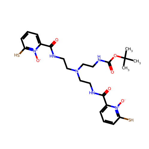 CC(C)(C)OC(=O)NCCN(CCNC(=O)c1cccc(S)[n+]1[O-])CCNC(=O)c1cccc(S)[n+]1[O-]